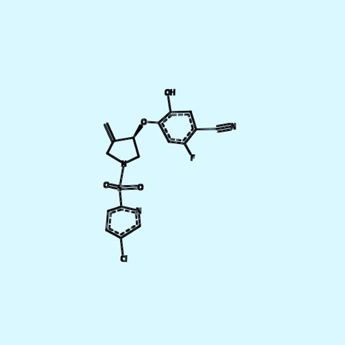 C=C1CN(S(=O)(=O)c2ccc(Cl)cn2)C[C@@H]1Oc1cc(F)c(C#N)cc1O